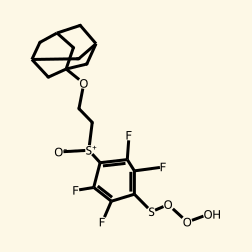 [O-][S+](CCOC12CC3CC(CC(C3)C1)C2)c1c(F)c(F)c(SOOO)c(F)c1F